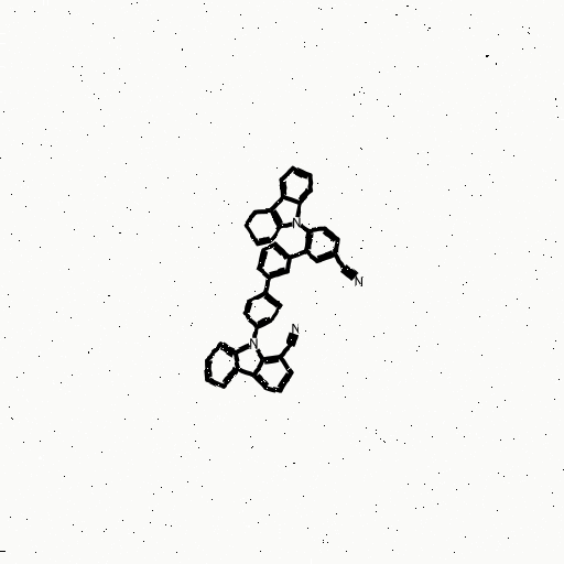 N#Cc1ccc(-n2c3c(c4ccccc42)CCC=C3)c(-c2cccc(-c3ccc(-n4c5ccccc5c5cccc(C#N)c54)cc3)c2)c1